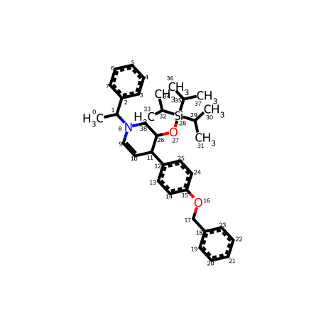 CC(c1ccccc1)N1C=CC(c2ccc(OCc3ccccc3)cc2)C(O[Si](C(C)C)(C(C)C)C(C)C)C1